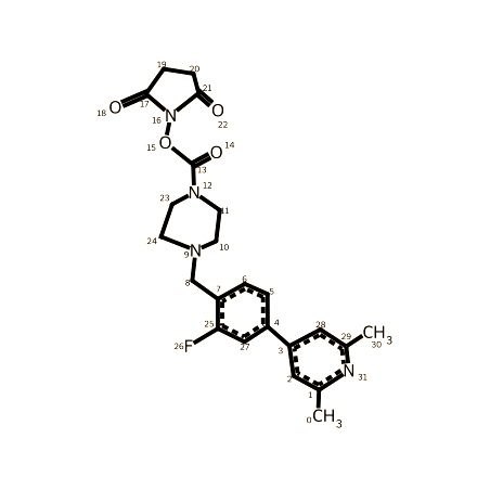 Cc1cc(-c2ccc(CN3CCN(C(=O)ON4C(=O)CCC4=O)CC3)c(F)c2)cc(C)n1